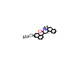 COc1ccc2c(C3C[C@]4(C)c5ccccc5CC[C@H]4N(C)C3=O)cccc2c1